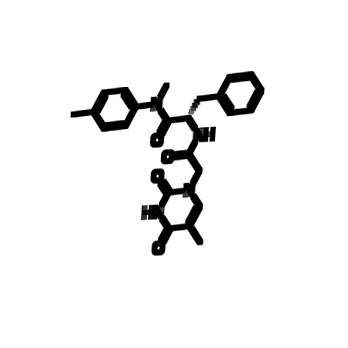 Cc1ccc(N(C)C(=O)[C@H](Cc2ccccc2)NC(=O)Cn2cc(C)c(=O)[nH]c2=O)cc1